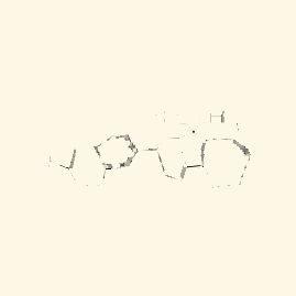 CC1(C)C2=C(CCC=C2)C2=CC=C(c3ccc4c(c3)CCC(I)=C4)CC21